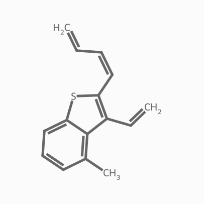 C=C/C=C\c1sc2cccc(C)c2c1C=C